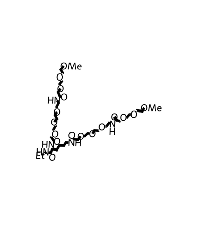 CCNC(=O)C(CCCCNC(=O)COCCOCCOCCNC(=O)COCCOCCOC)NC(=O)COCCOCCOCCNC(=O)COCCOCCOC